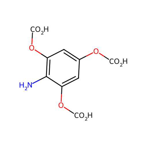 Nc1c(OC(=O)O)cc(OC(=O)O)cc1OC(=O)O